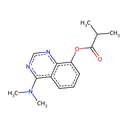 CC(C)C(=O)Oc1cccc2c(N(C)C)ncnc12